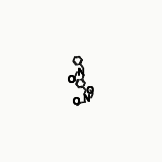 c1ccc(CN(Cc2cccc(C3CN(CC4CO4)CCO3)c2)CC2CO2)cc1